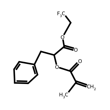 C=C(C)C(=O)OC(Cc1ccccc1)C(=O)OCC(F)(F)F